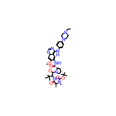 CCN1CCN(c2ccc(Nc3ncnc4cc(OC)c(NC(=O)[C@@H]5CCCN5C(=O)[C@@H](NC(=O)[C@H](C)N(C)C(=O)OC(C)(C)C)C(C)(C)C)cc34)cc2)CC1